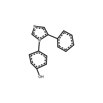 Oc1ccc(-n2cncc2-c2ccccc2)cc1